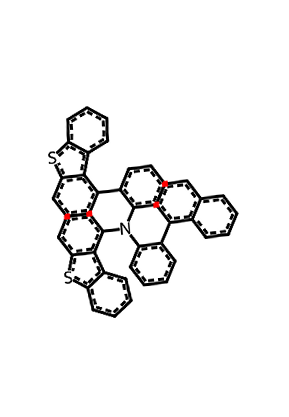 c1ccc(N(c2ccccc2-c2cccc3sc4ccccc4c23)c2cccc3sc4ccccc4c23)c(-c2cccc3ccccc23)c1